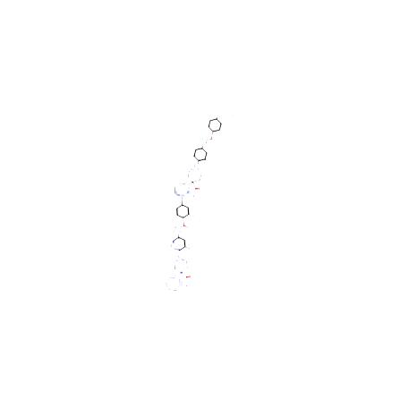 Cc1ccc(C(=O)Nc2ccc(N3CCC(C(N)=O)(N4CCCC(c5ccc(C(=O)Nc6cnc(N7CCC(C(N)=O)(N8CCCCC8)CC7)c(C(=O)O)c6)c(F)c5)C4)CC3)c(C(=O)O)c2)cc1